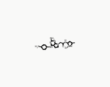 CCn1nc(C)cc1NC(=O)Cn1ccc2c(Nc3ccc(N)cc3)nc(N)nc21